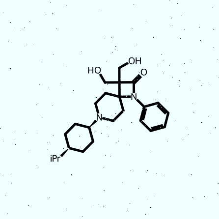 CC(C)[C@H]1CC[C@@H](N2CCC3(CC2)N(c2ccccc2)C(=O)C3(CO)CO)CC1